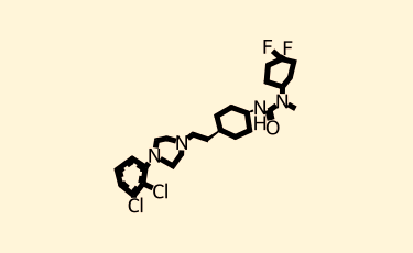 CN(C(=O)N[C@H]1CC[C@H](CCN2CCN(c3cccc(Cl)c3Cl)CC2)CC1)C1CCC(F)(F)CC1